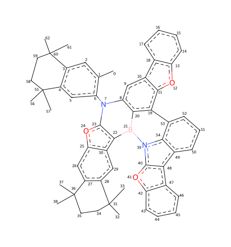 Cc1cc2c(cc1N1c3cc4c(oc5ccccc54)c4c3B(c3c1oc1cc5c(cc31)C(C)(C)CCC5(C)C)n1c3oc5ccccc5c3c3cccc-4c31)C(C)(C)CCC2(C)C